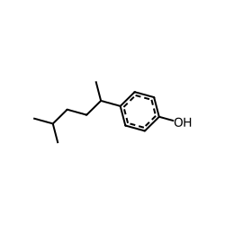 CC(C)CCC(C)c1ccc(O)cc1